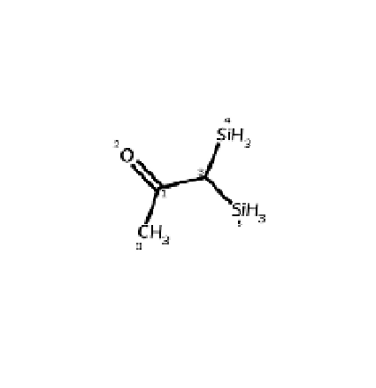 CC(=O)C([SiH3])[SiH3]